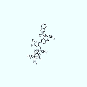 [CH2]C(Cc1cc(F)c(F)cc1-c1ccc2nc(N)nc(C(=O)N3Cc4ccccc4C3)c2c1)NC(=O)OC(C)(C)C